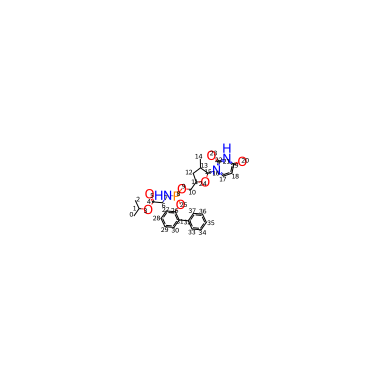 CC(C)OC(=O)CNP(OCC1CC(C)C(n2ccc(=O)[nH]c2=O)O1)Oc1ccccc1-c1ccccc1